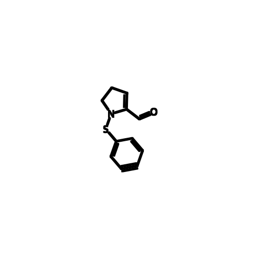 O=CC1=CCCN1Sc1cc#ccc1